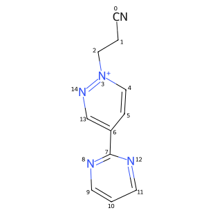 N#CCC[n+]1ccc(-c2ncccn2)cn1